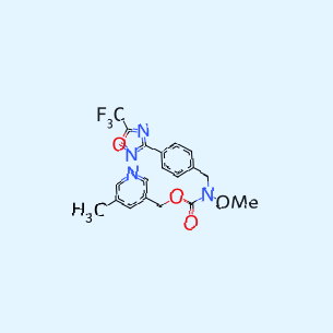 CON(Cc1ccc(-c2noc(C(F)(F)F)n2)cc1)C(=O)OCc1cncc(C)c1